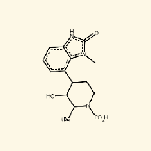 Cn1c(=O)[nH]c2cccc(C3CCN(C(=O)O)C(C(C)(C)C)C3O)c21